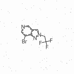 FC(F)(F)Cn1cc2cncc(Br)c2n1